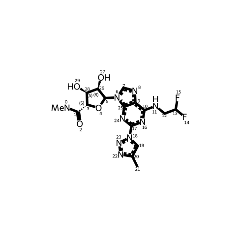 CNC(=O)[C@H]1OC(n2cnc3c(NCC(F)F)nc(-n4cc(C)nn4)nc32)[C@H](O)[C@@H]1O